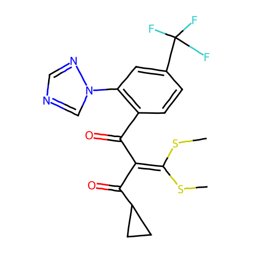 CSC(SC)=C(C(=O)c1ccc(C(F)(F)F)cc1-n1cncn1)C(=O)C1CC1